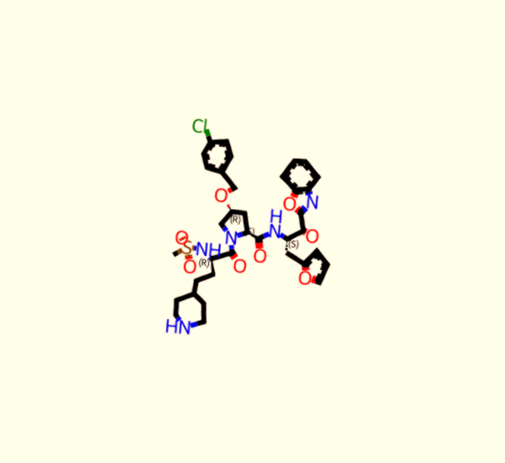 CS(=O)(=O)N[C@H](CCC1CCNCC1)C(=O)N1C[C@H](OCc2ccc(Cl)cc2)C[C@H]1C(=O)N[C@@H](Cc1ccco1)C(=O)c1nc2ccccc2o1